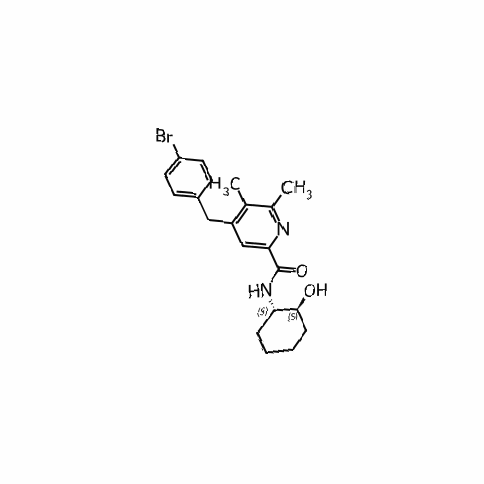 Cc1nc(C(=O)N[C@H]2CCCC[C@@H]2O)cc(Cc2ccc(Br)cc2)c1C